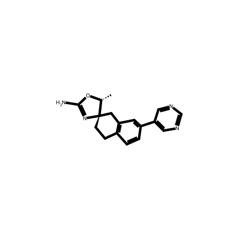 C[C@H]1OC(N)=N[C@]12CCc1ccc(-c3cncnc3)cc1C2